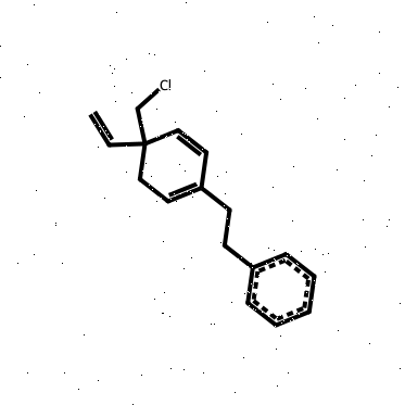 C=CC1(CCl)C=CC(CCc2ccccc2)=CC1